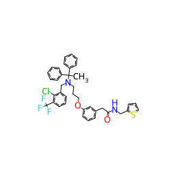 CC(c1ccccc1)(c1ccccc1)N(CCCOc1cccc(CC(=O)NCc2cccs2)c1)Cc1cccc(C(F)(F)F)c1Cl